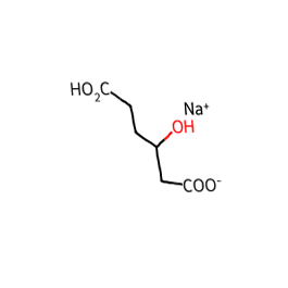 O=C([O-])CC(O)CCC(=O)O.[Na+]